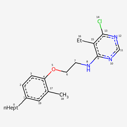 CCCCCCCc1ccc(OCCNc2ncnc(Cl)c2CC)c(C)c1